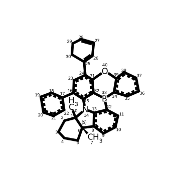 CC12CCCC[C@@]1(C)c1cccc3c1N2c1c(-c2ccccc2)cc(C2=CC=CCC2)c2c1B3c1ccccc1O2